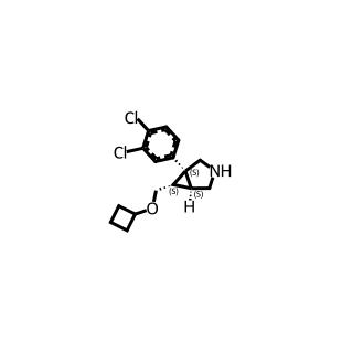 Clc1ccc([C@]23CNC[C@H]2[C@@H]3COC2CCC2)cc1Cl